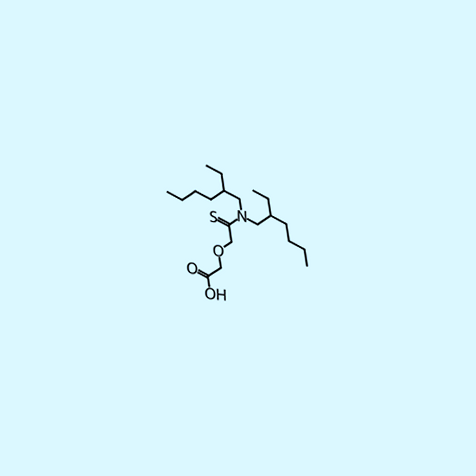 CCCCC(CC)CN(CC(CC)CCCC)C(=S)COCC(=O)O